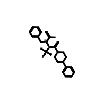 CC(=O)[C@H](Cc1ccccc1)N(C(=O)N1CCC(c2ccccc2)CC1)C(F)(F)F